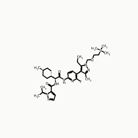 CCc1c(-c2ccc(NC(=O)[C@@H](NC(=O)c3ccnn3C(C)C)[C@H]3CC[C@H](C)CC3)nc2F)c(C)nn1COCC[Si](C)(C)C